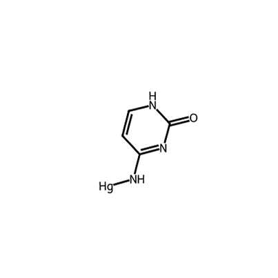 O=c1nc([NH][Hg])cc[nH]1